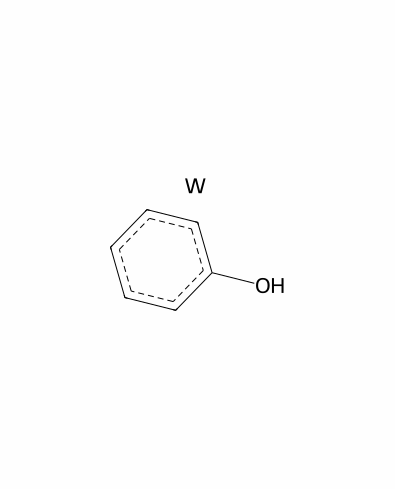 Oc1ccccc1.[W]